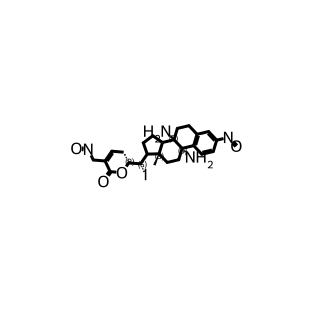 C[C@]12CC[C@]3(N)c4ccc(N=O)cc4CC[C@@]3(N)C1CCC2[C@H](I)[C@H]1CC=C(CN=O)C(=O)O1